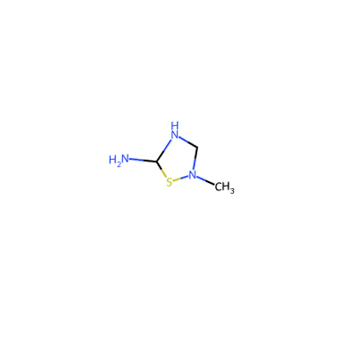 CN1CNC(N)S1